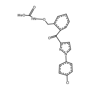 COC(=O)NOCc1ccccc1C(=O)c1ccn(-c2ccc(Cl)cc2)n1